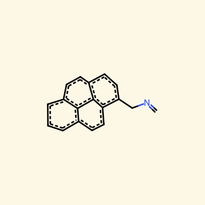 C=NCc1ccc2ccc3cccc4ccc1c2c34